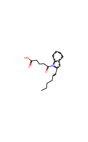 CCCC/C=C/c1cc2ccccc2n1C(=O)CCCC(=O)O